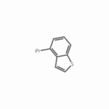 CC(C)c1cccc2sc[c]c12